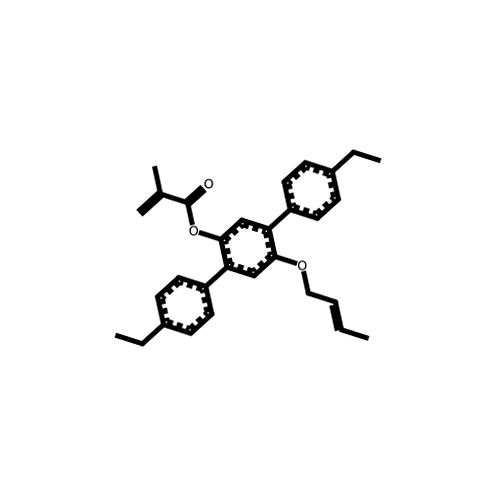 C=C(C)C(=O)Oc1cc(-c2ccc(CC)cc2)c(OC/C=C/C)cc1-c1ccc(CC)cc1